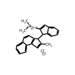 CC1=Cc2c(ccc3ccccc23)C1C1[C]([Zr+2]=[Si](C)C)=Cc2ccccc21.[Cl-].[Cl-]